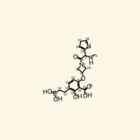 CNC(C(=O)N1CC(Oc2ccc(CCB(O)O)c(O)c2C(=O)O)C1)C1=CCC=N1